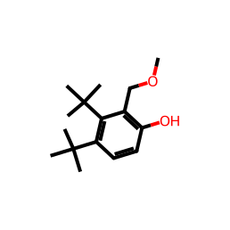 COCc1c(O)ccc(C(C)(C)C)c1C(C)(C)C